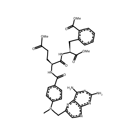 COC(=O)CC[C@H](NC(=O)c1ccc(N(C)Cc2cnc3nc(N)nc(N)c3n2)cc1)C(=O)N[C@@H](Cc1ccccc1C(=O)OC)C(=O)OC